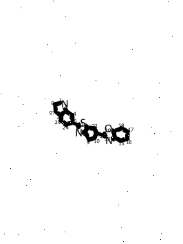 c1cnc2cc(-c3nc4ccc(-c5nc6ccccc6o5)cc4s3)ccc2c1